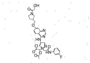 CC(=O)OC(C(=O)Cl)[N+]1(CC(=O)Nc2cccc(F)c2)C=C(Nc2ncnc3cc(OCC4CCN(C(=O)CO)C4)ccc23)C=N1